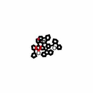 O=C(c1cc(C(=O)c2ccccc2-c2ccccc2)cc(C2(c3cc(C(=O)c4ccccc4-c4ccccc4)cc(C(=O)c4ccccc4-c4ccccc4)c3)c3ccccc3-c3ccccc32)c1)c1ccccc1-c1ccccc1